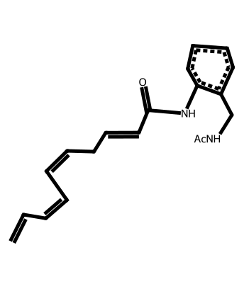 C=C/C=C\C=C/C/C=C/C(=O)Nc1ccccc1CNC(C)=O